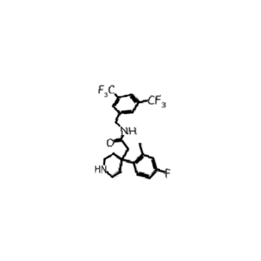 Cc1cc(F)ccc1C1(CC(=O)NCc2cc(C(F)(F)F)cc(C(F)(F)F)c2)CCNCC1